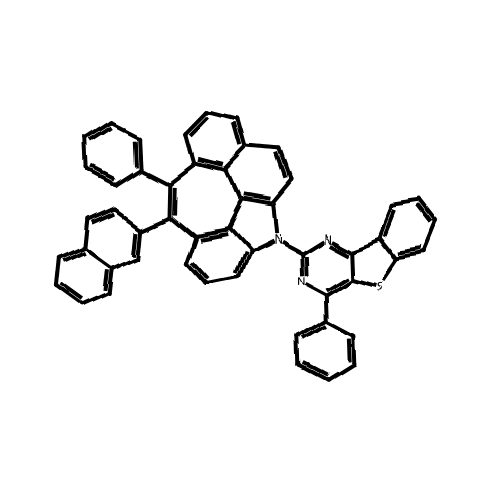 c1ccc(C2=C(c3ccc4ccccc4c3)c3cccc4c3c3c5c2cccc5ccc3n4-c2nc(-c3ccccc3)c3sc4ccccc4c3n2)cc1